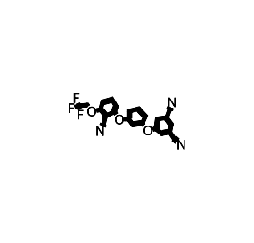 N#Cc1cc(C#N)cc(Oc2cccc(Oc3cccc(OCC(F)(F)F)c3C#N)c2)c1